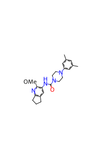 COc1nc2c(cc1NC(=O)N1CCN(c3cc(C)cc(C)c3)CC1)CCC2